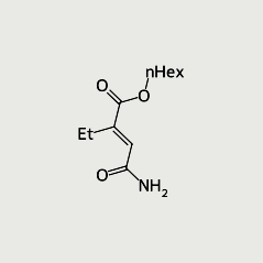 CCCCCCOC(=O)C(=CC(N)=O)CC